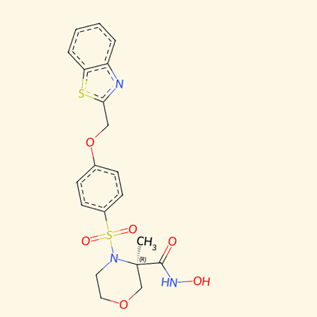 C[C@]1(C(=O)NO)COCCN1S(=O)(=O)c1ccc(OCc2nc3ccccc3s2)cc1